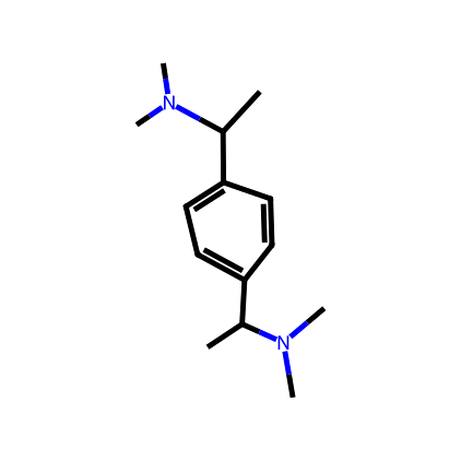 CC(c1ccc(C(C)N(C)C)cc1)N(C)C